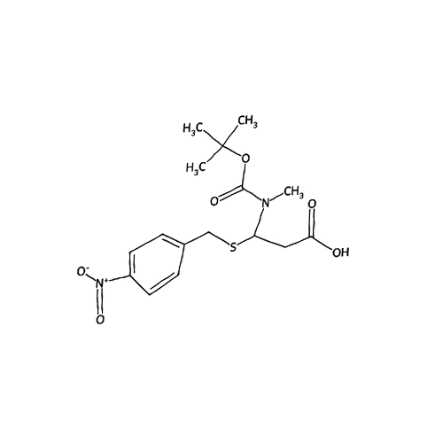 CN(C(=O)OC(C)(C)C)C(CC(=O)O)SCc1ccc([N+](=O)[O-])cc1